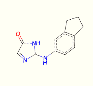 O=C1C=NC(Nc2ccc3c(c2)CCC3)N1